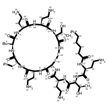 CC[C@H](C)[C@@H]1NC(=O)[C@@H](CC(C)C)NC(=O)[C@H](CCN)NC(=O)[C@@H](NC(=O)[C@H](CCN)NC(=O)[C@@H](NC(=O)[C@H](CCN)NC(=O)CCCCC(C)C)[C@@H](C)O)CCNC(=O)[C@H]([C@@H](C)O)NC(=O)[C@H](CCN)NC(=O)[C@H](CCN)NC1=O